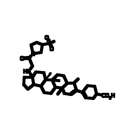 CC1C(C2=CCC(C(=O)O)CC2)=CCC2(C)C1CCC1(C)C2CCC2C3CCCC3(NCC(=O)N3CCC(S(C)(=O)=O)C3)CC[C@]21C